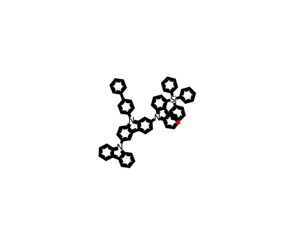 c1ccc(-c2ccc(-n3c4ccc(-n5c6ccccc6c6ccccc65)cc4c4ccc(-n5c6ccccc6c6c([Si](c7ccccc7)(c7ccccc7)c7ccccc7)cccc65)cc43)cc2)cc1